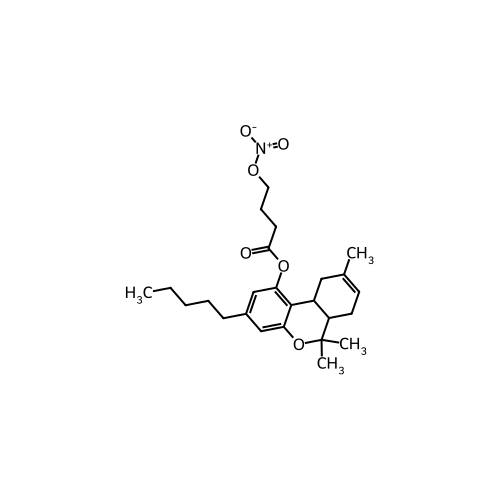 CCCCCc1cc(OC(=O)CCCO[N+](=O)[O-])c2c(c1)OC(C)(C)C1CC=C(C)CC21